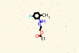 CCC(=O)OC/C=N/Nc1cc(F)ccc1C